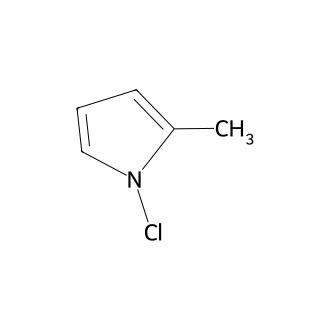 Cc1cccn1Cl